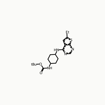 CCc1cc2c(NC3CCC(NC(=O)OC(C)(C)C)CC3)ncnc2s1